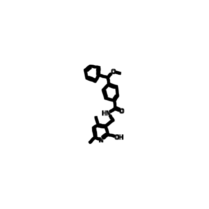 COC(c1ccccc1)c1ccc(C(=O)NCc2c(C)cc(C)nc2O)cc1